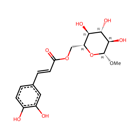 CO[C@@H]1O[C@H](COC(=O)C=Cc2ccc(O)c(O)c2)[C@@H](O)[C@H](O)[C@H]1O